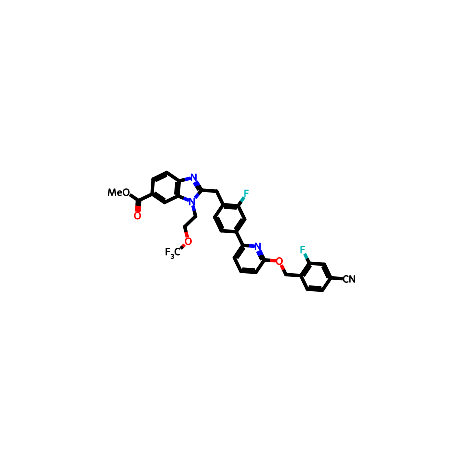 COC(=O)c1ccc2nc(Cc3ccc(-c4cccc(OCc5ccc(C#N)cc5F)n4)cc3F)n(CCOC(F)(F)F)c2c1